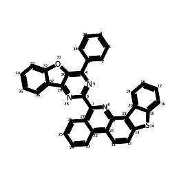 c1ccc(-c2nc(-c3nc4c(ccc5sc6ccccc6c54)c4ccccc34)nc3c2oc2ccccc23)cc1